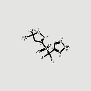 CC1(C)CC(S(=O)(=O)C(F)(F)c2cn[nH]n2)=NO1